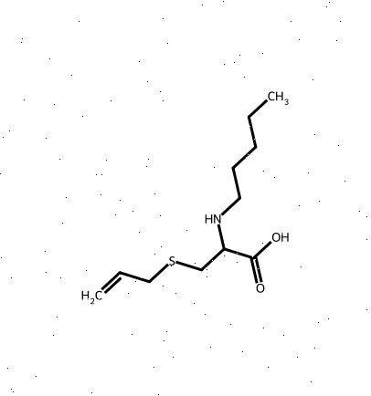 C=CCSCC(NCCCCC)C(=O)O